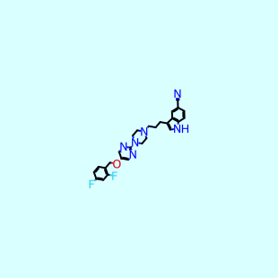 N#Cc1ccc2[nH]cc(CCCN3CCN(c4ncc(OCc5ccc(F)cc5F)cn4)CC3)c2c1